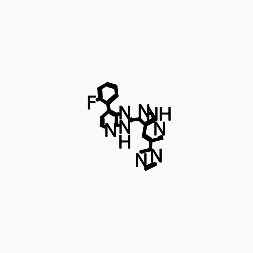 Fc1ccccc1-c1ccnc2[nH]c(-c3n[nH]c4ncc(-c5cnccn5)cc34)nc12